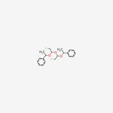 CC(OC(CF)OC(CF)OC(C)c1ccccc1)c1ccccc1